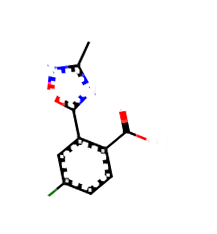 Cc1noc(-c2cc(F)ccc2C(=O)O)n1